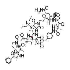 CCCC(I)(CCC)SC1CC(=O)N(CCC(=O)N[C@@H](CCC(N)=O)C(=O)N[C@@H](CO)C(=O)N[C@@H](C)C(=O)Nc2ccc(COC(=O)N(C)[C@H](C(=O)N[C@H](C(=O)N(C)[C@@H]([C@@H](C)CC)[C@@H](CC(=O)N3CCC[C@H]3[C@H](OC)[C@@H](C)C(=O)N[C@H](C)[C@@H](O)c3ccccc3)OC)C(C)C)C(C)C)cc2)C1=O